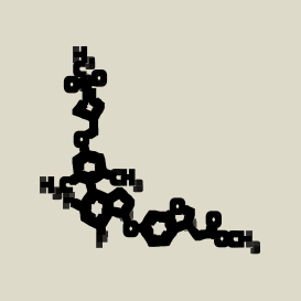 COC(=O)C[C@@H]1COc2cc(O[C@@H]3CCc4c(-c5c(C)cc(OCC6CN(S(C)(=O)=O)C6)cc5C)c(F)cc(F)c43)ccc21